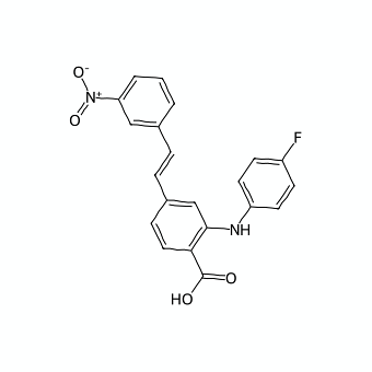 O=C(O)c1ccc(C=Cc2cccc([N+](=O)[O-])c2)cc1Nc1ccc(F)cc1